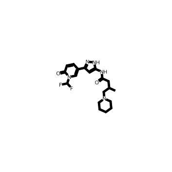 CC(CC(=O)Nc1cc(-c2ccc(=O)n(C(F)F)c2)n[nH]1)CN1CCCCC1